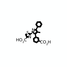 Cc1c(-c2ccccc2)nn(-c2nc(C(=O)O)cs2)c1-c1cccc(C(=O)O)c1